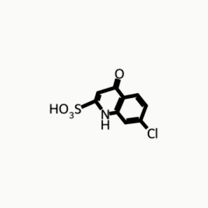 O=c1cc(S(=O)(=O)O)[nH]c2cc(Cl)ccc12